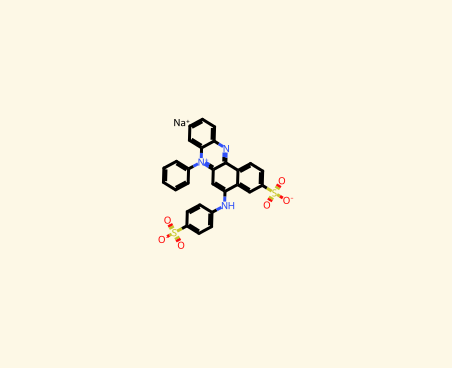 O=S(=O)([O-])c1ccc(Nc2cc3c(nc4ccccc4[n+]3-c3ccccc3)c3ccc(S(=O)(=O)[O-])cc23)cc1.[Na+]